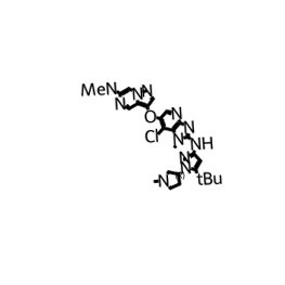 CNc1cn2ncc(Oc3cnc4nc(Nc5cc(C(C)(C)C)n([C@@H]6CCN(C)C6)n5)n(C)c4c3Cl)c2cn1